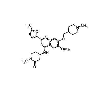 COc1cc2c(NC3CCN(C)C(=O)C3)cc(-c3ccc(C)o3)nc2cc1OCC1CCN(C)CC1